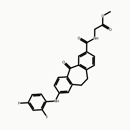 COC(=O)CNC(=O)c1ccc2c(c1)C(=O)c1ccc(Nc3ccc(F)cc3F)cc1CC2